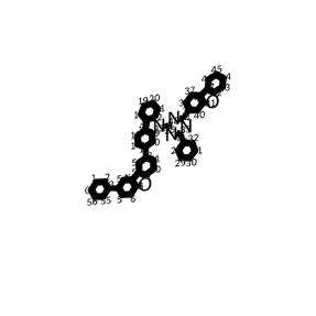 c1ccc(-c2ccc3oc4ccc(-c5ccc6c7ccccc7n(-c7nc(-c8ccccc8)nc(-c8ccc9c(c8)oc8ccccc89)n7)c6c5)cc4c3c2)cc1